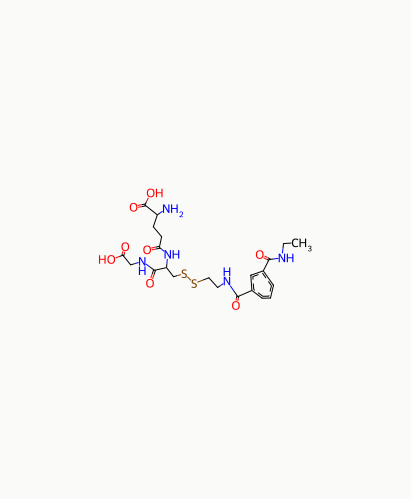 CCNC(=O)c1cccc(C(=O)NCCSSCC(NC(=O)CCC(N)C(=O)O)C(=O)NCC(=O)O)c1